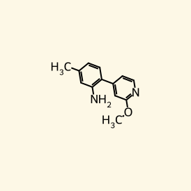 COc1cc(-c2ccc(C)cc2N)ccn1